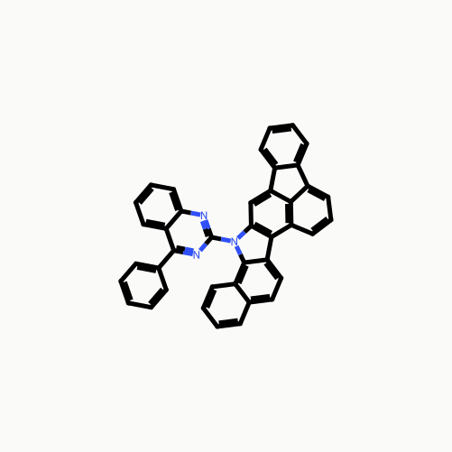 c1ccc(-c2nc(-n3c4cc5c6c(cccc6c4c4ccc6ccccc6c43)-c3ccccc3-5)nc3ccccc23)cc1